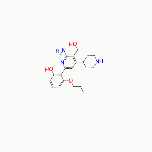 CCCOc1cccc(O)c1-c1cc(C2CCNCC2)c(CO)c(N)n1